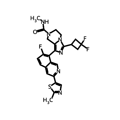 CNC(=O)N1CCn2c(C3CC(F)(F)C3)nc(-c3c(F)ccc4cc(-c5cnc(C)s5)ncc34)c2C1